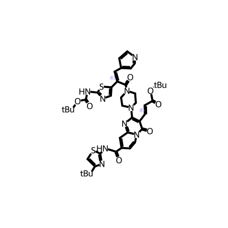 CC(C)(C)OC(=O)/C=C/c1c(N2CCN(C(=O)/C(=C\c3ccncc3)c3cnc(NC(=O)OC(C)(C)C)s3)CC2)nc2cc(C(=O)Nc3nc(C(C)(C)C)cs3)ccn2c1=O